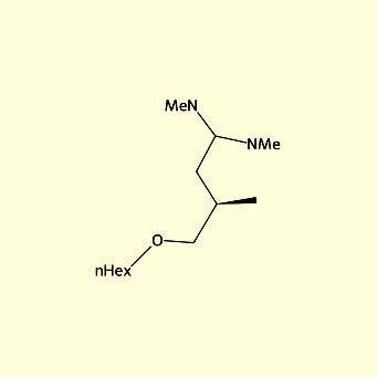 CCCCCCOC[C@H](C)CC(NC)NC